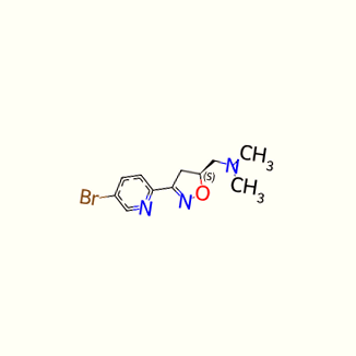 CN(C)C[C@@H]1CC(c2ccc(Br)cn2)=NO1